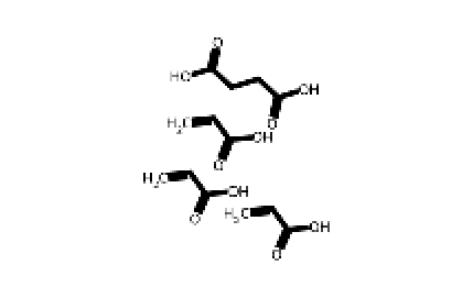 C=CC(=O)O.C=CC(=O)O.C=CC(=O)O.O=C(O)CCC(=O)O